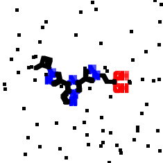 CC1CCC1n1cc(-c2nc(-c3cnn(CCC(O)O)c3)cn3nccc23)cn1